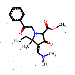 CCC1(C)/C(=C/N(C)C)C(=O)C(C(=O)OC)N1CC(=O)c1ccccc1